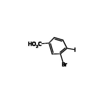 O=C(O)c1ccc(I)c(Br)c1